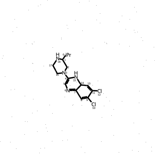 CC(C)C1CN(C2=CN=C3C=C(Cl)C(Cl)=CC3N2)CCN1